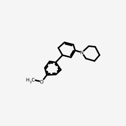 COc1ccc(C2C=C(N3CCCCC3)C=CC2)cc1